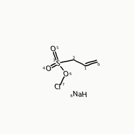 C=CCS(=O)(=O)OCl.[NaH]